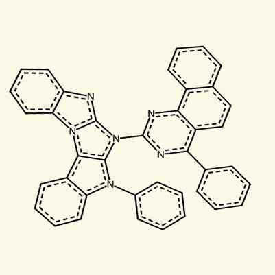 c1ccc(-c2nc(-n3c4c(c5ccccc5n4-c4ccccc4)n4c5ccccc5nc34)nc3c2ccc2ccccc23)cc1